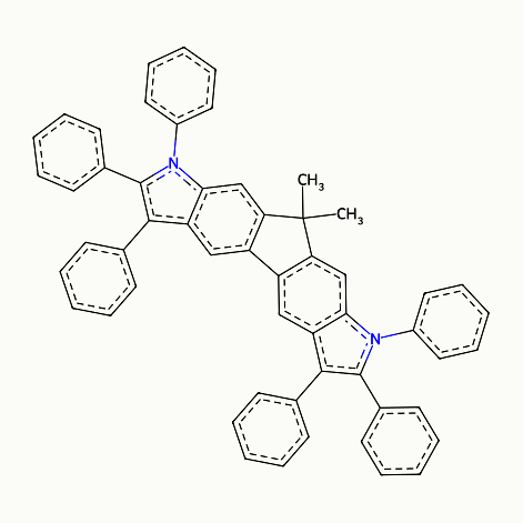 CC1(C)c2cc3c(cc2-c2cc4c(-c5ccccc5)c(-c5ccccc5)n(-c5ccccc5)c4cc21)c(-c1ccccc1)c(-c1ccccc1)n3-c1ccccc1